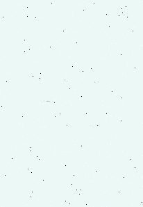 COc1cc(OC)c([NH])c(OC)c1